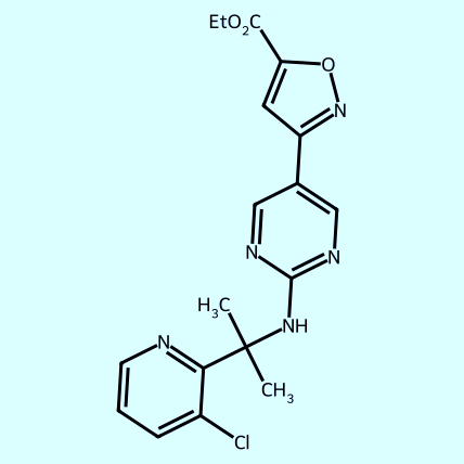 CCOC(=O)c1cc(-c2cnc(NC(C)(C)c3ncccc3Cl)nc2)no1